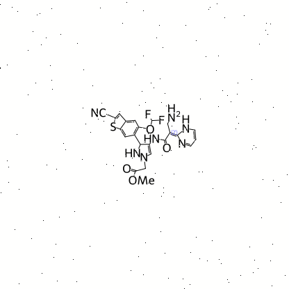 COC(=O)CN1C=C(NC(=O)/C(CN)=C2\N=CC=CN2)C(c2cc3sc(C#N)cc3cc2OC(F)F)N1